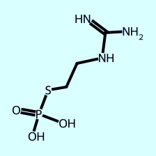 N=C(N)NCCSP(=O)(O)O